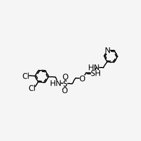 O=S(=O)(CCOC=[SH]NCc1cccnc1)NCc1ccc(Cl)c(Cl)c1